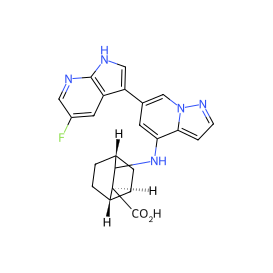 O=C(O)[C@@H]1C(Nc2cc(-c3c[nH]c4ncc(F)cc34)cn3nccc23)[C@H]2CC[C@@H]1CC2